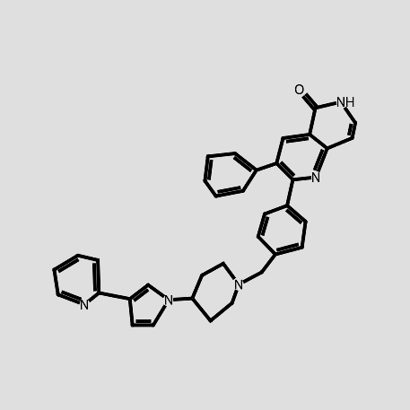 O=c1[nH]ccc2nc(-c3ccc(CN4CCC(n5ccc(-c6ccccn6)c5)CC4)cc3)c(-c3ccccc3)cc12